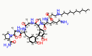 CCCCCCCCCCNCCS(=O)(=O)N[C@@H](CCCCN)C(=O)N(C)[C@@H]1C(=O)N[C@@H](C)C(=O)N[C@H](C(=O)N[C@@H](C)C(=O)N2CCC[C@H]2C(N)=O)Cc2ccc(O)c(c2)-c2cc1ccc2O